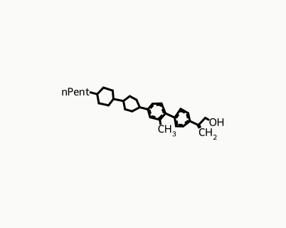 C=C(CO)c1ccc(-c2ccc(C3CCC(C4CCC(CCCCC)CC4)CC3)cc2C)cc1